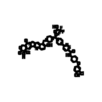 CC[C@@]1(O)C(=O)OCc2c1cc1n(c2=O)Cc2cc3c(CN4CCN(C(=O)N5CCN(c6ccc(C(=O)NC7CCC(Oc8ccc(C#N)c(Cl)c8)CC7)nn6)CC5)CC4)c(O)ccc3nc2-1.O=C(O)C(F)(F)F